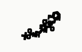 CC(C)(C)OC(=O)NCCc1nc(C(=O)NCc2ncccc2F)c(Cl)s1